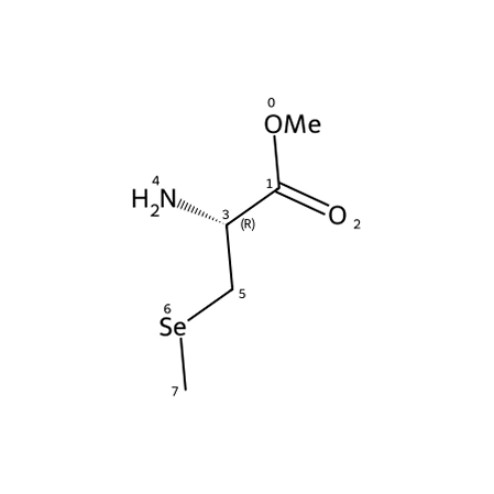 COC(=O)[C@@H](N)C[Se]C